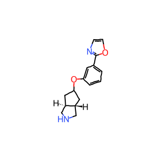 c1cc(OC2C[C@@H]3CNC[C@H]3C2)cc(-c2ncco2)c1